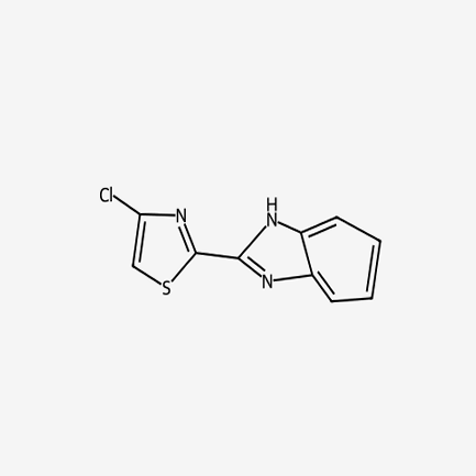 Clc1csc(-c2nc3ccccc3[nH]2)n1